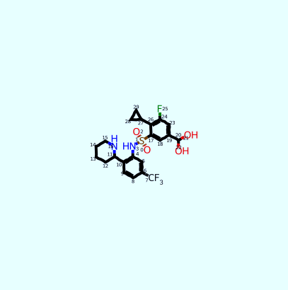 O=S(=O)(Nc1cc(C(F)(F)F)ccc1C1CCCCN1)c1cc(C(O)O)cc(F)c1C1CC1